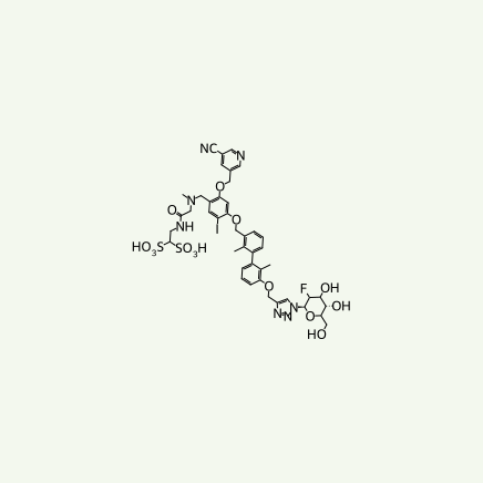 Cc1c(COc2cc(OCc3cncc(C#N)c3)c(CN(C)CC(=O)NCC(S(=O)(=O)O)S(=O)(=O)O)cc2I)cccc1-c1cccc(OCc2cn([C@@H]3OC(CO)[C@@H](O)C(O)C3F)nn2)c1C